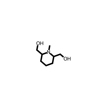 CN1C(CO)CCCC1CO